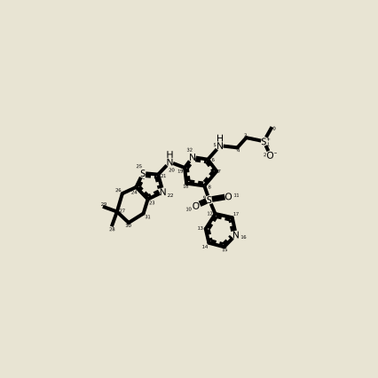 C[S+]([O-])CCNc1cc(S(=O)(=O)c2cccnc2)cc(Nc2nc3c(s2)CC(C)(C)CC3)n1